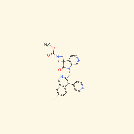 COC(=O)N1CC2(C1)C(=O)N(Cc1ncc3cc(F)ccc3c1-c1ccncc1)c1cnccc12